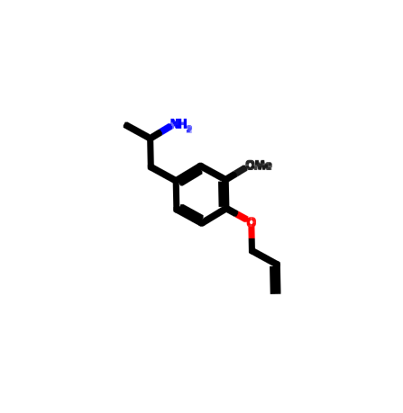 C=CCOc1ccc(CC(C)N)cc1OC